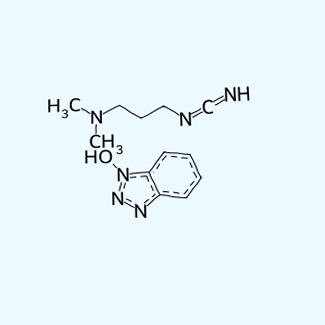 CN(C)CCCN=C=N.On1nnc2ccccc21